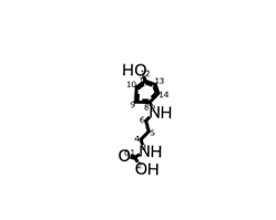 O=C(O)NCCCNc1ccc(O)cc1